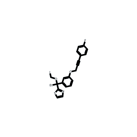 CCC(OCI)(c1cccc(OCC#Cc2ccc(F)cc2)c1)c1nccs1